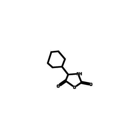 O=C1NC(C2CCCCC2)C(=O)O1